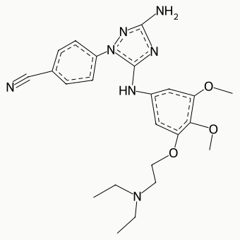 CCN(CC)CCOc1cc(Nc2nc(N)nn2-c2ccc(C#N)cc2)cc(OC)c1OC